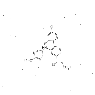 CCOc1ncc(Nc2cc(C(CC)CC(=O)O)ccc2-c2ccc(Cl)cc2F)cn1